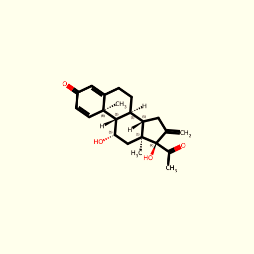 C=C1C[C@H]2[C@@H]3CCC4=CC(=O)C=C[C@]4(C)[C@H]3[C@@H](O)C[C@]2(C)[C@@]1(O)C(C)=O